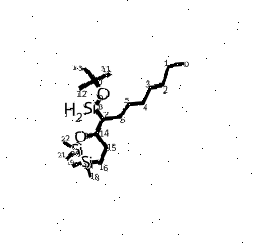 CCCCCCCC([SiH2]OC(C)(C)C)C1CC[Si](C)(C)[Si](C)(C)O1